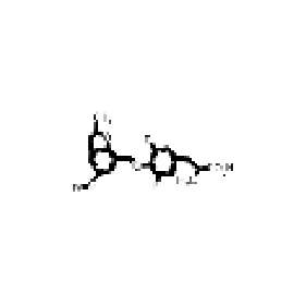 CCOc1cc(COc2c(F)cc(CC(C)C(=O)O)cc2F)c2c(c1)CC(C)O2